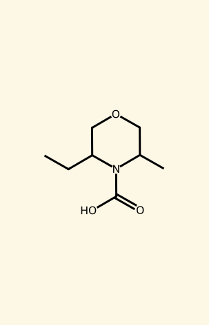 CCC1COCC(C)N1C(=O)O